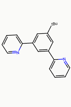 CC(C)(C)c1cc(-c2ccccn2)cc(-c2ccccn2)c1